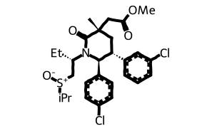 CC[C@@H](C[S+]([O-])C(C)C)N1C(=O)[C@](C)(CC(=O)OC)C[C@H](c2cccc(Cl)c2)[C@H]1c1ccc(Cl)cc1